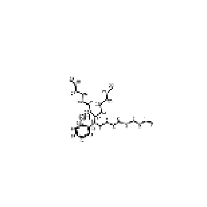 CCCCCCCCCC(c1ccccc1O)C(CCCCC)CCCCCCC